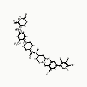 COc1cc(-c2cn(C)c(=O)c(C)c2C)cc(F)c1CN1CCC(N(C)C(=O)C2CCN(c3ccc(NC4CCC(=O)NC4=O)cc3C(F)(F)F)CC2)CC1